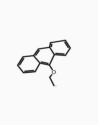 [CH2]COc1c2ccccc2cc2ccccc12